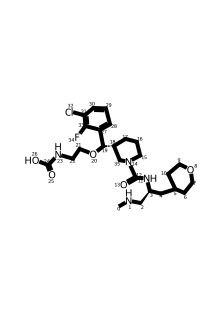 CNC[C@H](CC1CCOCC1)NC(=O)N1CCC[C@@H](C(OCCNC(=O)O)c2cccc(Cl)c2F)C1